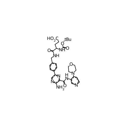 CC(C)(C)OC(=O)NC(CCC(=O)O)C(=O)NCc1ccc(-c2cnc(N)c(C(=O)Nc3cnccc3N3CCOCC3)n2)cc1